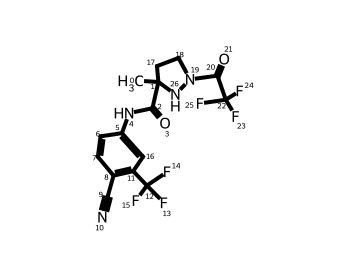 CC1(C(=O)Nc2ccc(C#N)c(C(F)(F)F)c2)CCN(C(=O)C(F)(F)F)N1